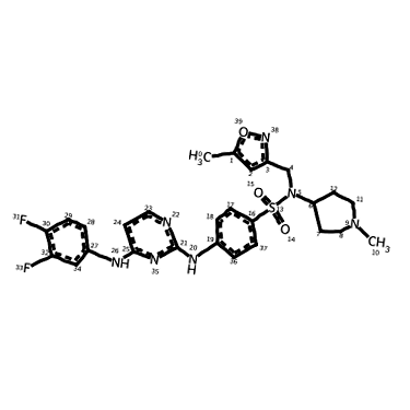 Cc1cc(CN(C2CCN(C)CC2)S(=O)(=O)c2ccc(Nc3nccc(Nc4ccc(F)c(F)c4)n3)cc2)no1